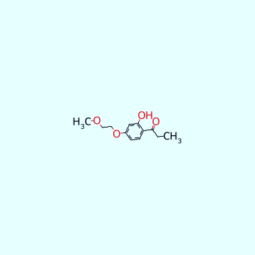 CCC(=O)c1ccc(OCCOC)cc1O